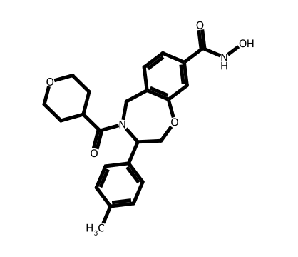 Cc1ccc(C2COc3cc(C(=O)NO)ccc3CN2C(=O)C2CCOCC2)cc1